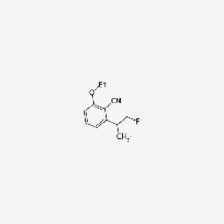 [CH2]C(CF)c1cccc(OCC)c1C#N